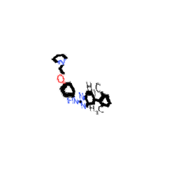 Cc1cccc(C)c1-c1ccc2nc(Nc3ccc(OCCCN4CCCCC4)cc3)ncc2c1